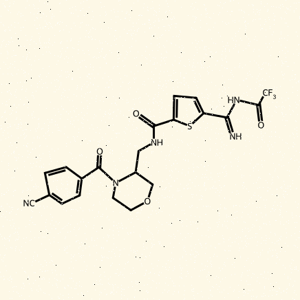 N#Cc1ccc(C(=O)N2CCOCC2CNC(=O)c2ccc(C(=N)NC(=O)C(F)(F)F)s2)cc1